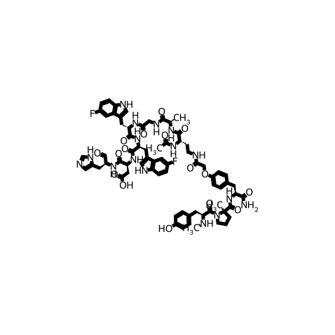 CN[C@@H](Cc1ccc(O)cc1)C(=O)N1CCC[C@@]1(C)C(=O)N[C@@H](Cc1ccc(OCC(=O)NCC[C@H](NC(C)=O)C(=O)N[C@@H](C)C(=O)NCC(=O)N[C@@H](Cc2c[nH]c3ccc(F)cc23)C(=O)N[C@@H](Cc2c[nH]c3ccc(F)cc23)C(=O)N[C@@H](CC(=O)O)C(=O)N[C@H](C=O)Cc2cnc[nH]2)cc1)C(N)=O